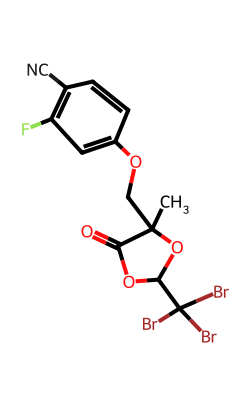 CC1(COc2ccc(C#N)c(F)c2)OC(C(Br)(Br)Br)OC1=O